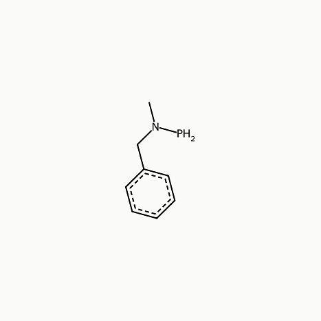 CN(P)Cc1ccccc1